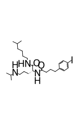 CC(C)CCCCNC(=O)[C@@H](CCCNC(C)C)NC(=O)CCCc1ccc(I)cc1